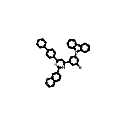 Brc1cc(-c2cc(-c3ccc(-c4ccccc4)cc3)nc(-c3ccc4ccccc4c3)n2)cc(-n2c3ccccc3c3ccccc32)c1